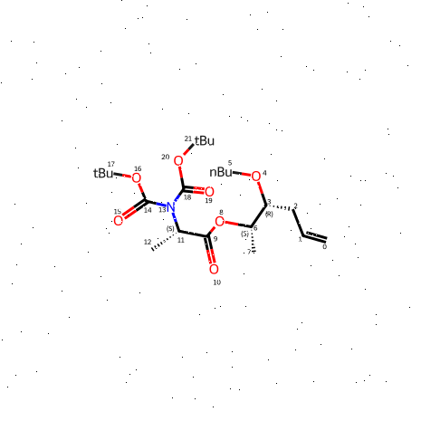 C=CC[C@@H](OCCCC)[C@H](C)OC(=O)[C@H](C)N(C(=O)OC(C)(C)C)C(=O)OC(C)(C)C